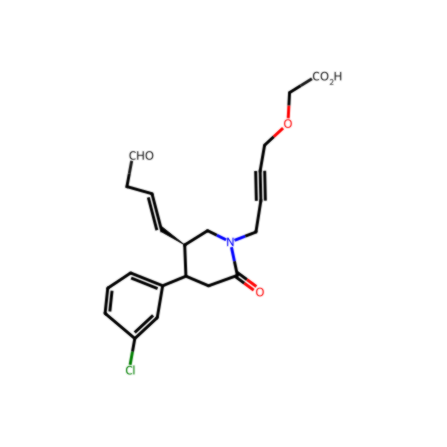 O=CC/C=C/[C@H]1CN(CC#CCOCC(=O)O)C(=O)CC1c1cccc(Cl)c1